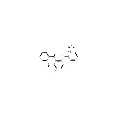 CC1(S(=O)(=O)O)C=CC=CC1Nc1ccc(O)c2c1C(=O)c1ccccc1C2=O